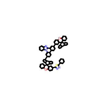 c1ccc(-c2nnc(-c3ccc4c(c3)C3(c5ccccc5O4)c4ccccc4-c4c(-c5ccc6c7ccc(-c8ccc9c(c8)C8(c%10ccccc%10O9)c9ccccc9-c9ccccc98)cc7c7nc8ccccc8n7c6c5)cccc43)s2)cc1